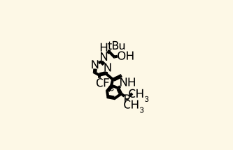 CP(C)c1cccc2c(-c3nc(NC(CO)C(C)(C)C)ncc3C(F)(F)F)c[nH]c12